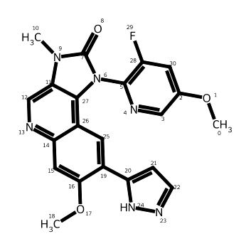 COc1cnc(-n2c(=O)n(C)c3cnc4cc(OC)c(-c5ccn[nH]5)cc4c32)c(F)c1